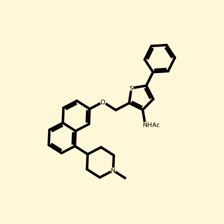 CC(=O)Nc1cc(-c2ccccc2)sc1COc1ccc2cccc(C3CCN(C)CC3)c2c1